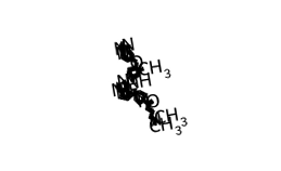 Cc1cc(Nc2ncnn3ccc(C4(F)CCN(C(=O)/C=C/CN(C)C)CC4)c23)ccc1Oc1ccn2ncnc2c1